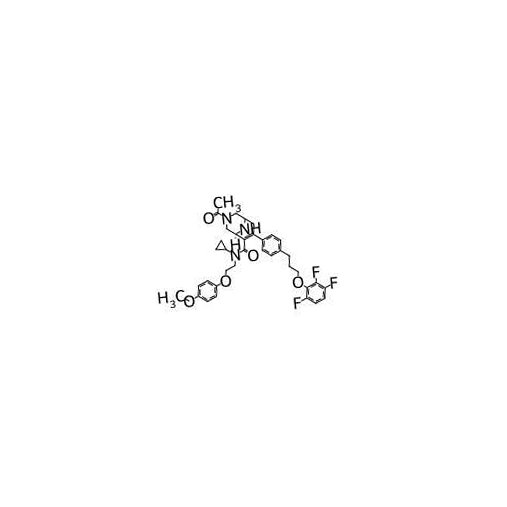 COc1ccc(OCCN(C(=O)C2=C(c3ccc(CCCOc4c(F)ccc(F)c4F)cc3)CC3CN(C(C)=O)C[C@H]2N3)C2CC2)cc1